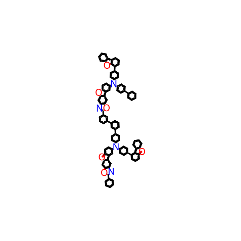 c1ccc(-c2ccc(N(c3ccc(-c4cccc5c4oc4ccccc45)cc3)c3ccc4oc5cc6nc(-c7cccc(-c8cccc(-c9ccc(N(c%10ccc(-c%11cccc%12oc%13ccccc%13c%11%12)cc%10)c%10ccc%11oc%12cc%13oc(-c%14ccccc%14)nc%13cc%12c%11c%10)cc9)c8)c7)oc6cc5c4c3)cc2)cc1